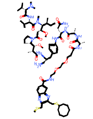 CC[C@H](C)[C@@H]([C@@H](CC(=O)N1CCC[C@H]1[C@H](OC)[C@@H](C)C(=O)N[C@H](CN)Cc1ccc(NC(=O)[C@H](CC(N)=O)NC(=O)[C@H](C)NC(=O)[C@H](C)NC(=O)CCOCCOCCNC(=O)c2ccc3nc(CSC)c(CSC4CCCCCCC4)nc3c2)cc1)OC)N(C)C(=O)[C@@H](NC(=O)[C@H](C(C)C)N(C)C)C(C)C